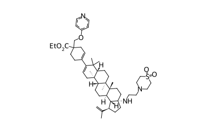 C=C(C)[C@@H]1CC[C@]2(NCCN3CCS(=O)(=O)CC3)CC[C@]3(C)[C@H](CC[C@@H]4[C@@]5(C)CC=C(C6=CCC(COc7ccncc7)(C(=O)OCC)CC6)C(C)(C)[C@@H]5CC[C@]43C)[C@@H]12